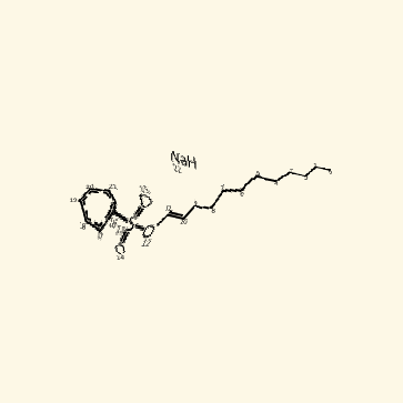 CCCCCCCCCCC=COS(=O)(=O)c1ccccc1.[NaH]